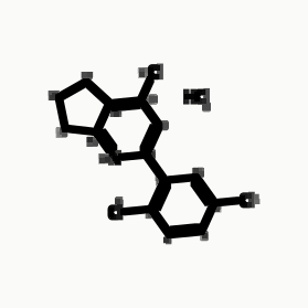 Cl.Clc1ccc(Cl)c(-c2cc(Cl)c3c(n2)CCC3)c1